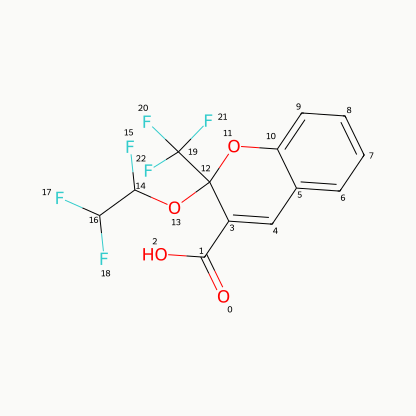 O=C(O)C1=Cc2ccccc2OC1(OC(F)C(F)F)C(F)(F)F